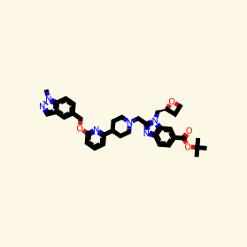 Cn1ncc2cc(COc3cccc(C4CCN(Cc5nc6ccc(C(=O)OC(C)(C)C)cc6n5C[C@@H]5CCO5)CC4)n3)ccc21